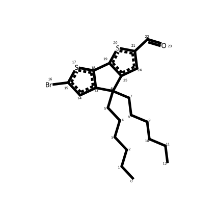 CCCCCCC1(CCCCCC)c2cc(Br)sc2-c2sc(C=O)cc21